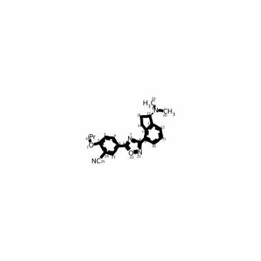 CC(C)Oc1ccc(-c2nc(-c3cccc4c3CC[C@@H]4N(C)C)no2)cc1C#N